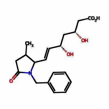 CC1CC(=O)N(Cc2ccccc2)C1C=C[C@@H](O)C[C@@H](O)CC(=O)O